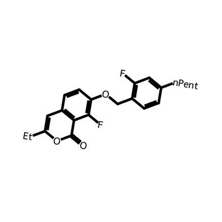 CCCCCc1ccc(COc2ccc3cc(CC)oc(=O)c3c2F)c(F)c1